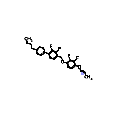 C=CCCc1ccc(-c2ccc(COc3ccc(O/C=C/C)c(F)c3F)c(F)c2F)cc1